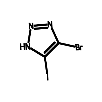 Brc1nn[nH]c1I